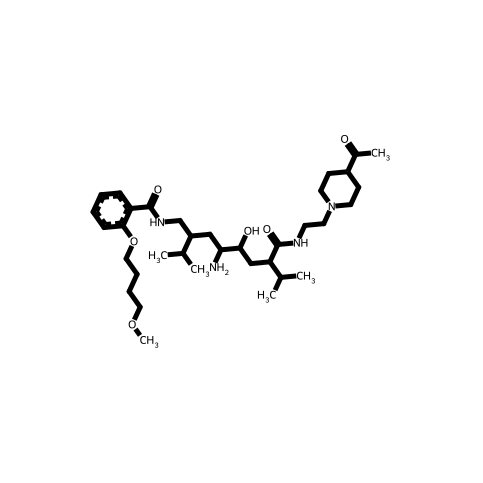 COCCCCOc1ccccc1C(=O)NCC(CC(N)C(O)CC(C(=O)NCCN1CCC(C(C)=O)CC1)C(C)C)C(C)C